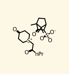 CC12CCC(C(S(=O)(=O)[O-])C1=O)C2(C)C.CCCC(=O)C[S+]1CCC(=O)CC1